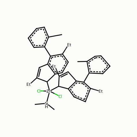 CCC1=Cc2c(ccc(CC)c2-c2ccccc2C)[CH]1[Zr]([Cl])([Cl])([CH]1C(CC)=Cc2c1ccc(CC)c2-c1ccccc1C)[SiH](C)C